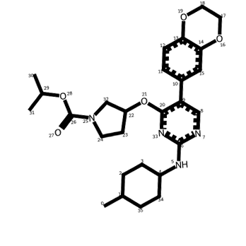 CC1CCC(Nc2ncc(-c3ccc4c(c3)OCCO4)c(OC3CCN(C(=O)OC(C)C)C3)n2)CC1